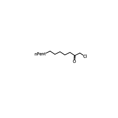 CCCCCCCCCCC(=O)CCl